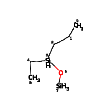 CCC[SiH](CC)O[SiH3]